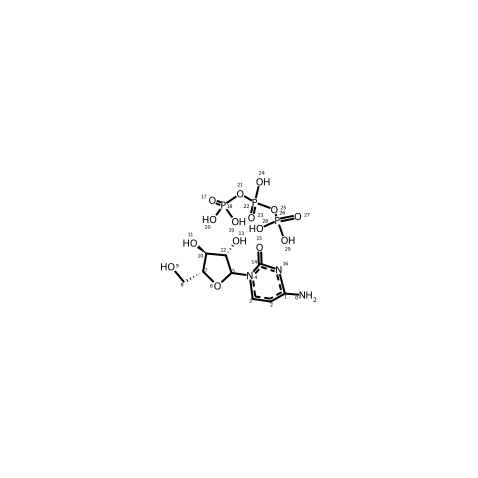 Nc1ccn(C2O[C@H](CO)[C@@H](O)[C@@H]2O)c(=O)n1.O=P(O)(O)OP(=O)(O)OP(=O)(O)O